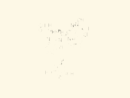 COCCn1c(C(=O)O)c(N2C(=O)c3c(CCCOc4cc(C)c(Cl)c(C)c4)c4ccc(Cl)c(-c5c(C)nn(C)c5C)c4n3C[C@H]2C)c2ccccc21